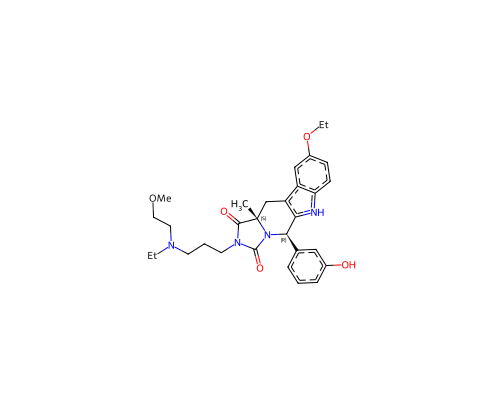 CCOc1ccc2[nH]c3c(c2c1)C[C@@]1(C)C(=O)N(CCCN(CC)CCOC)C(=O)N1[C@@H]3c1cccc(O)c1